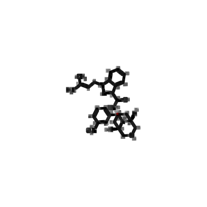 CC(C)=CCn1nc(C(=O)N[C@H]2C[C@H]3COC[C@@H](C2)N3Cc2cccc([N+](=O)[O-])c2)c2ccccc21